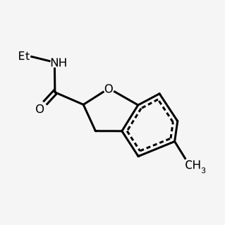 CCNC(=O)C1Cc2cc(C)ccc2O1